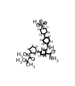 CN(C)C(=O)N(C)C1CCCN(c2cnc(C(N)=O)c(Nc3ccc(C4CCN(S(C)(=O)=O)CC4)cc3)n2)C1